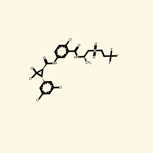 C[C@H](CS(=O)(=O)CCC(F)(F)F)NC(=O)c1cc(NC(=O)[C@H]2[C@H](c3cc(Cl)cc(Cl)c3)C2(Cl)Cl)ccc1Cl